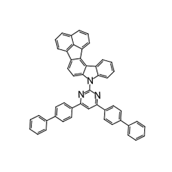 c1ccc(-c2ccc(-c3cc(-c4ccc(-c5ccccc5)cc4)nc(-n4c5ccccc5c5c6c(ccc54)-c4cccc5cccc-6c45)n3)cc2)cc1